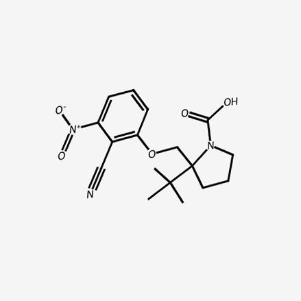 CC(C)(C)C1(COc2cccc([N+](=O)[O-])c2C#N)CCCN1C(=O)O